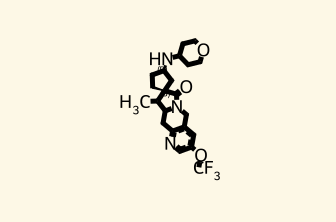 CC1C2Cc3ncc(OC(F)(F)F)cc3CN2C(=O)[C@]12CC[C@@H](NC1CCOCC1)C2